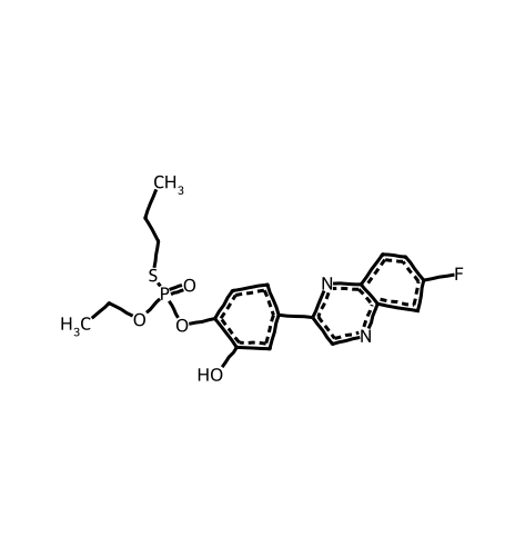 CCCSP(=O)(OCC)Oc1ccc(-c2cnc3cc(F)ccc3n2)cc1O